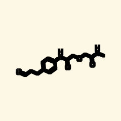 CNC(=O)COCC(=O)Nc1ccc(CCC=O)cc1